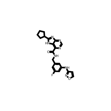 O=C(NCc1cc(F)cc(Nc2ccon2)c1)c1ncnc2nc(C3CCCC3)[nH]c12